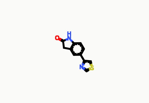 O=C1Cc2cc(-c3cscn3)ccc2N1